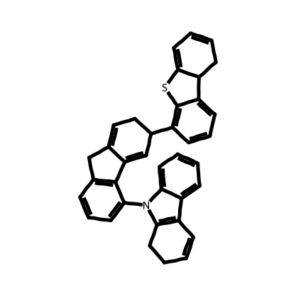 C1=CCC2C(=C1)Sc1c(C3C=C4C(=CC3)Cc3cccc(-n5c6c(c7ccccc75)C=CCC6)c34)cccc12